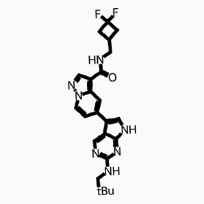 CC(C)(C)CNc1ncc2c(-c3ccn4ncc(C(=O)NCC5CC(F)(F)C5)c4c3)c[nH]c2n1